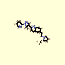 Cc1c(-c2ccc3cc(CCN4CCC[C@H]4C)ccc3n2)cnn1-c1ccccn1